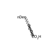 CCCCCCCCCCCCCCCCCCOCCOCCOCCOCC(=O)O